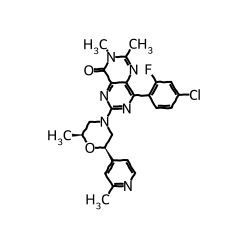 Cc1cc([C@@H]2CN(c3nc(-c4ccc(Cl)cc4F)c4nc(C)n(C)c(=O)c4n3)C[C@H](C)O2)ccn1